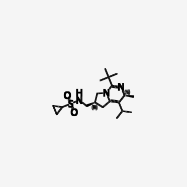 CC(C)C1=C2C[C@@H](CNS(=O)(=O)C3CC3)CN2C(C(C)(C)C)=N[C@H]1C